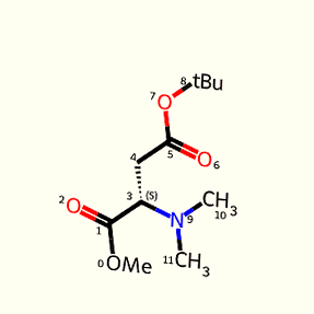 COC(=O)[C@H](CC(=O)OC(C)(C)C)N(C)C